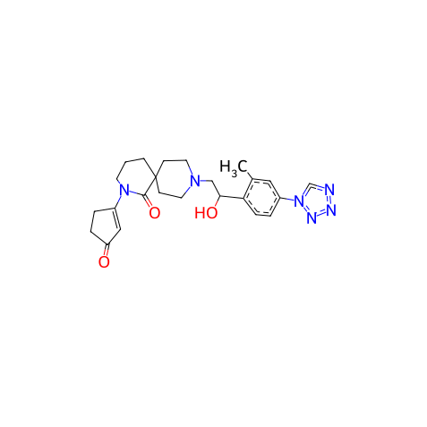 Cc1cc(-n2cnnn2)ccc1C(O)CN1CCC2(CCCN(C3=CC(=O)CC3)C2=O)CC1